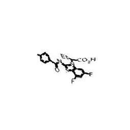 CCC(C(=O)O)n1/c(=N/C(=O)c2ccc(C)cc2)sc2c(F)cc(F)cc21